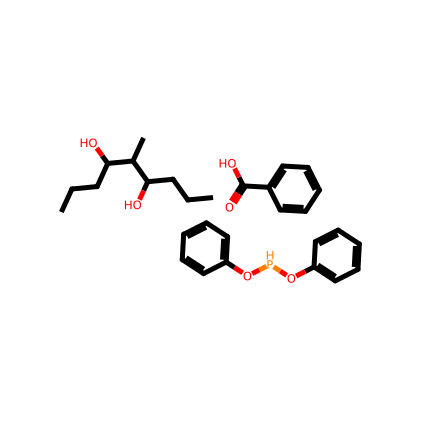 CCCC(O)C(C)C(O)CCC.O=C(O)c1ccccc1.c1ccc(OPOc2ccccc2)cc1